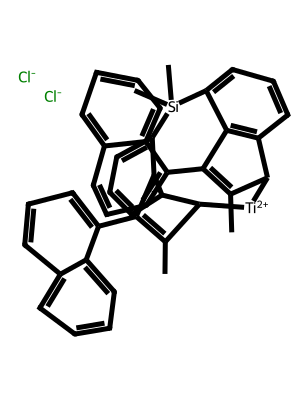 CC1=C(c2cccc3ccccc23)c2c3cccc2[Si](C)(C)c2cccc4c2C(c2cccc5ccccc25)=C(C)[CH]4[Ti+2][CH]13.[Cl-].[Cl-]